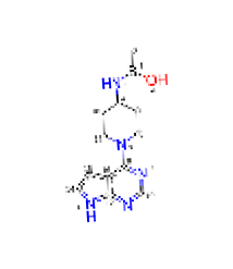 CB(O)NC1CCN(c2ncnc3[nH]ccc23)CC1